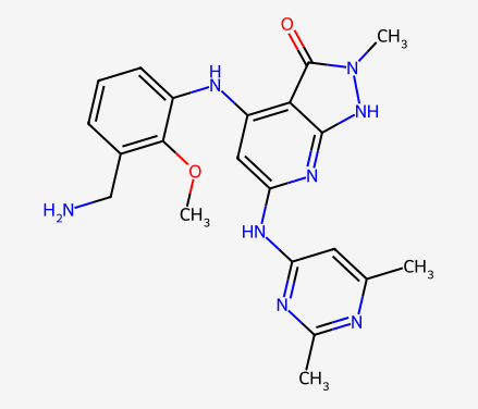 COc1c(CN)cccc1Nc1cc(Nc2cc(C)nc(C)n2)nc2[nH]n(C)c(=O)c12